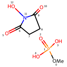 COP(=O)(O)O.O=C1CCC(=O)N1O